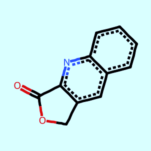 O=C1OCc2cc3ccccc3nc21